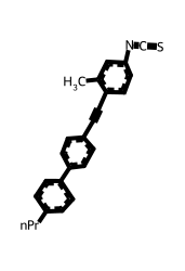 CCCc1ccc(-c2ccc(C#Cc3ccc(N=C=S)cc3C)cc2)cc1